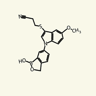 COc1ccc2c(c1)c(SCCC#N)cn2-c1ccc2c(c1)B(O)OC2